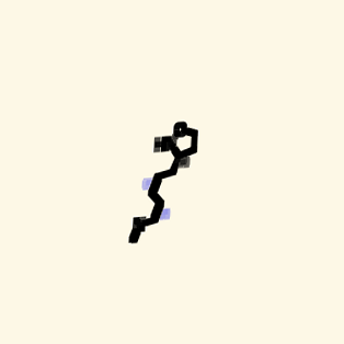 C=N/C=C\C=C/C[C@@H]1CCON1